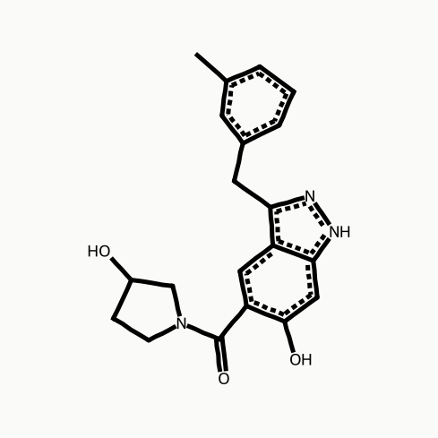 Cc1cccc(Cc2n[nH]c3cc(O)c(C(=O)N4CCC(O)C4)cc23)c1